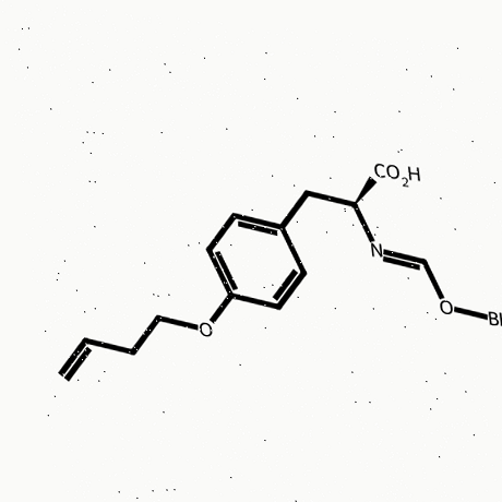 BOC=N[C@@H](Cc1ccc(OCCC=C)cc1)C(=O)O